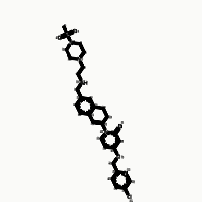 CS(=O)(=O)N1CCN(CCNCc2ccc3c(c2)CCC(n2ccc(OCc4ccc(Cl)cn4)cc2=O)=C3)CC1